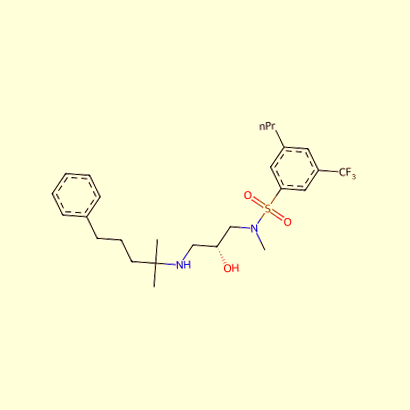 CCCc1cc(C(F)(F)F)cc(S(=O)(=O)N(C)C[C@H](O)CNC(C)(C)CCCc2ccccc2)c1